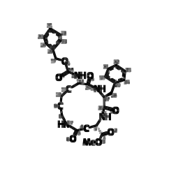 COC(=O)[C@@H]1CC(=O)NCCCC[C@H](NC(=O)OCc2ccccc2)C(=O)N[C@@H](Cc2ccccc2)C(=O)N1